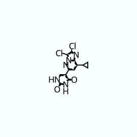 O=c1[nH]cc(-c2cc(C3CC3)c3nc(Cl)c(Cl)n3n2)c(=O)[nH]1